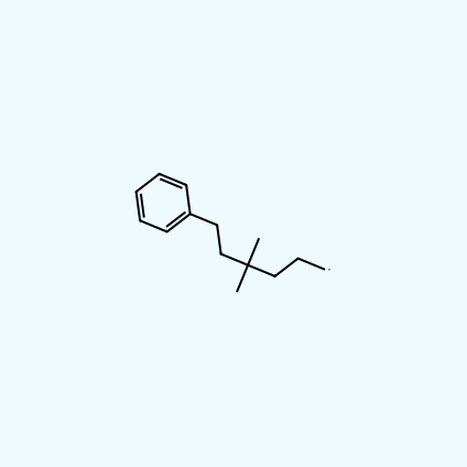 [CH2]CCC(C)(C)CCc1ccccc1